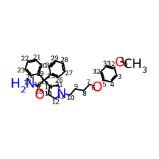 COc1ccc(OCCCCN2CCC(C(C(N)=O)(c3ccccc3)c3ccccc3)C2)cc1